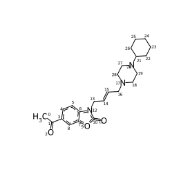 CC(=O)c1ccc2c(c1)oc(=O)n2C/C=C/CN1CCN(C2CCCCC2)CC1